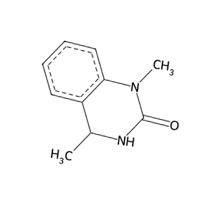 CC1NC(=O)N(C)c2ccccc21